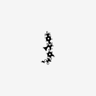 CCOC(=O)C(C)(C)Oc1ccc(SCc2cnc(-c3ccc(C(F)(F)F)cc3)nc2C2CC2)cc1C